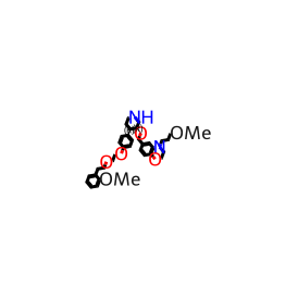 COCCCN1CCOc2ccc(CO[C@H]3CNCC[C@@H]3c3ccc(OCCOCCc4ccccc4OC)cc3)cc21